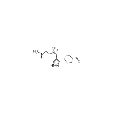 CNCCN(C)Cc1c[nH]nc1[C@H]1CC[C@@H](C=O)CC1